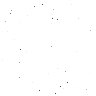 O=S(=O)(c1cc(C(O)Nc2cc(F)c(F)c(F)c2)ccc1F)N1C[C@H](O)CC[C@H](O)C1